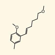 COCCCC/C=C/c1cc(C)ccc1OC